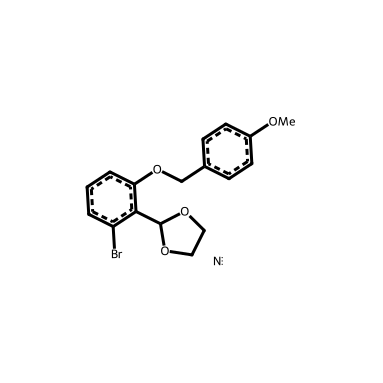 COc1ccc(COc2cccc(Br)c2C2OCCO2)cc1.[N]